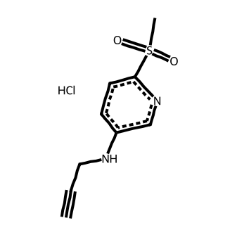 C#CCNc1ccc(S(C)(=O)=O)nc1.Cl